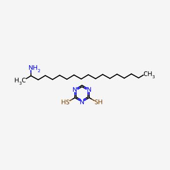 CCCCCCCCCCCCCCCCC(C)N.Sc1ncnc(S)n1